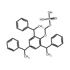 CC(c1ccccc1)c1cc(C(C)c2ccccc2)c(OCOP(=O)(O)O)c(C(C)c2ccccc2)c1